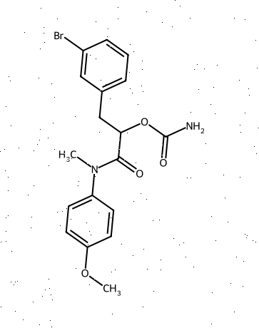 COc1ccc(N(C)C(=O)C(Cc2cccc(Br)c2)OC(N)=O)cc1